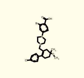 COC1(C)CCC(c2ccc(Cl)cc2)=C(CN2CCN(c3ccc(C(=O)O)c(Br)c3)CC2)C1